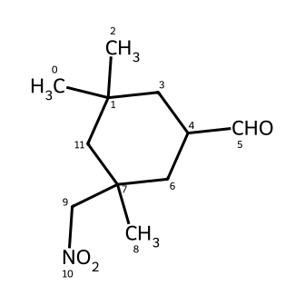 CC1(C)CC(C=O)CC(C)(C[N+](=O)[O-])C1